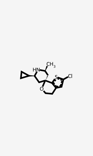 C[C@H]1C[C@@]2(C[C@@H](C3CC3)N1)OCCc1cc(Cl)sc12